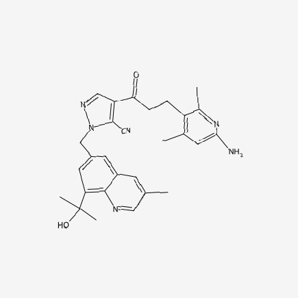 Cc1cnc2c(C(C)(C)O)cc(Cn3ncc(C(=O)CCc4c(C)cc(N)nc4C)c3C#N)cc2c1